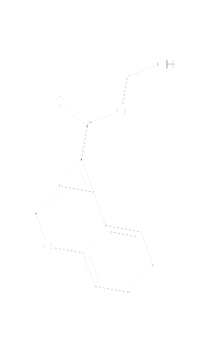 CCOC(=O)C1=C2C1=COc1ccccc12